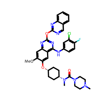 COc1cc2nc(Oc3ncc4ccccc4n3)nc(Nc3ccc(F)c(Cl)c3)c2cc1O[C@H]1CC[C@@H](N(C)C(=O)N2CCN(C)CC2)CC1